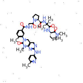 Cc1ccc(Nc2ncc3c(n2)N(C)C(=O)N(c2cc(C(=O)NCC(=O)N4CCC[C@H]4C(=O)NC(C)(C)C(=O)N[C@@H](CC(C)C)C(=O)N(C)C)ccc2C)C3)cn1